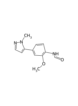 COc1cc(-c2ccnn2C)ccc1NC=O